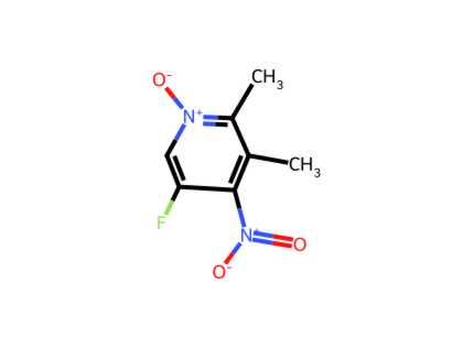 Cc1c([N+](=O)[O-])c(F)c[n+]([O-])c1C